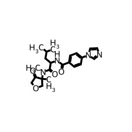 CC(C)CC(NC(=O)c1ccc(-n2ccnc2)cc1)C(=O)N(C)C1(C)COCC1=O